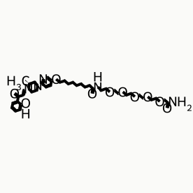 C[C@@H]1CN(c2ccc(OCCCCCCCCC(=O)NCCOCCOCCOCCOCCOCC(N)=O)cn2)CCN1/C=C/C(=O)c1ccccc1O